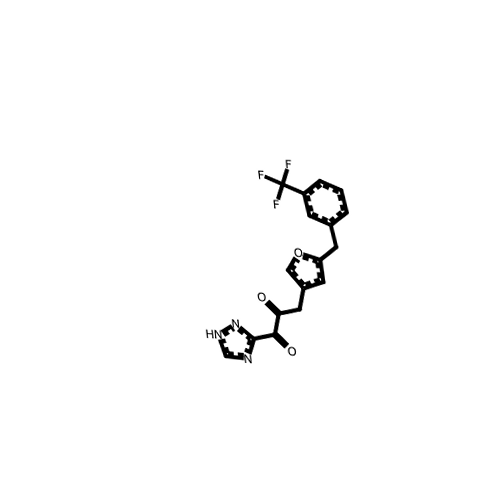 O=C(Cc1coc(Cc2cccc(C(F)(F)F)c2)c1)C(=O)c1nc[nH]n1